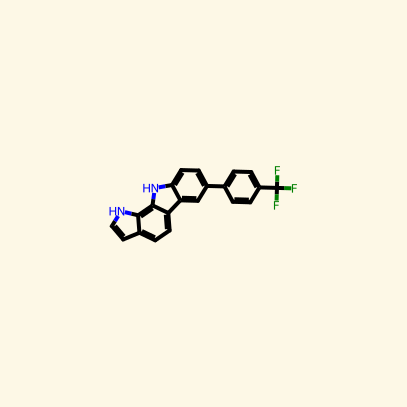 FC(F)(F)c1ccc(-c2ccc3[nH]c4c(ccc5cc[nH]c54)c3c2)cc1